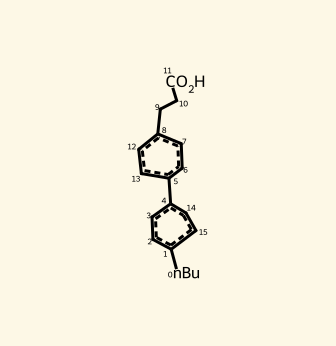 CCCCc1ccc(-c2ccc(CCC(=O)O)cc2)cc1